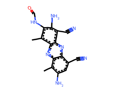 Cc1c(N)cc(C#N)c2nc3c(C#N)c(N)c(NC=O)c(C)c3nc12